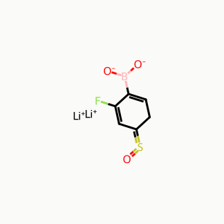 O=S=C1C=C(F)C(B([O-])[O-])=CC1.[Li+].[Li+]